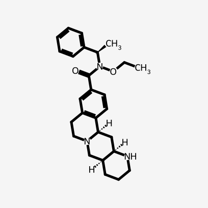 CCON(C(=O)c1ccc2c(c1)CCN1C[C@@H]3CCCN[C@@H]3C[C@H]21)[C@H](C)c1ccccc1